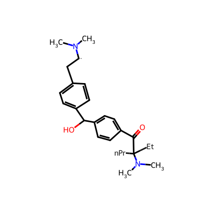 CCCC(CC)(C(=O)c1ccc(C(O)c2ccc(C[CH]N(C)C)cc2)cc1)N(C)C